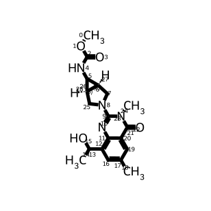 COC(=O)NC1[C@H]2CN(c3nc4c(C(C)O)cc(C)cc4c(=O)n3C)C[C@@H]12